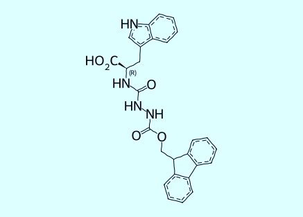 O=C(NNC(=O)OCC1c2ccccc2-c2ccccc21)N[C@H](Cc1c[nH]c2ccccc12)C(=O)O